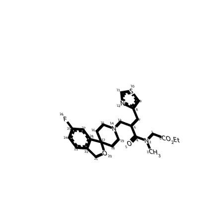 CCOC(=O)CN(C)C(=O)C(Cc1cscn1)CN1CCC2(CC1)OCc1ccc(F)cc12